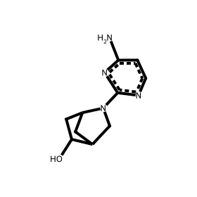 Nc1ccnc(N2CC3CC2CC3O)n1